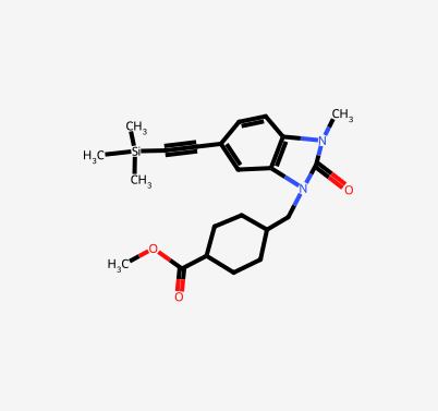 COC(=O)C1CCC(Cn2c(=O)n(C)c3ccc(C#C[Si](C)(C)C)cc32)CC1